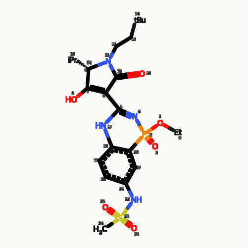 CCOP1(=O)N=C(C2=C(O)[C@H](C(C)C)N(CCC(C)(C)C)C2=O)Nc2ccc(NS(C)(=O)=O)cc21